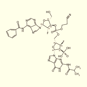 CC(C)C(=O)Nc1nc2c(ncn2[C@@H]2O[C@H](COP(=O)(OCCC#N)O[C@H]3[C@H](F)[C@H](n4cnc5c(NC(=O)c6ccccc6)ncnc54)O[C@@H]3CO)[C@@H](F)[C@H]2P(=O)(O)O)c(=O)[nH]1